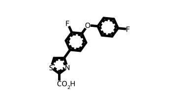 O=C(O)c1nc(-c2ccc(Oc3ccc(F)cc3)c(F)c2)cs1